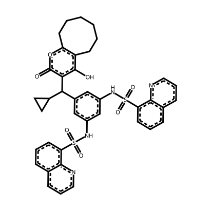 O=c1oc2c(c(O)c1C(c1cc(NS(=O)(=O)c3cccc4cccnc34)cc(NS(=O)(=O)c3cccc4cccnc34)c1)C1CC1)CCCCCC2